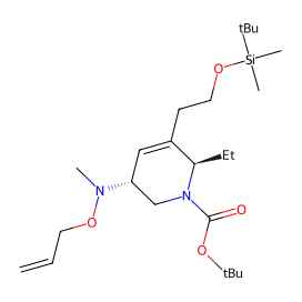 C=CCON(C)[C@@H]1C=C(CCO[Si](C)(C)C(C)(C)C)[C@@H](CC)N(C(=O)OC(C)(C)C)C1